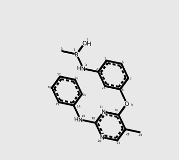 CB(O)Nc1cccc(Oc2nc(Nc3ccccc3)ncc2C)c1